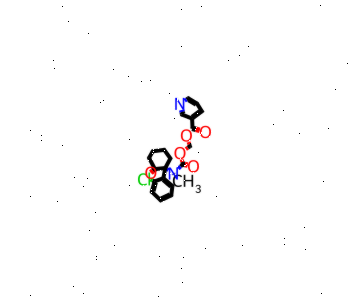 CN(C(=O)OCOC(=O)c1cccnc1)C1(c2ccccc2Cl)CCCCC1=O